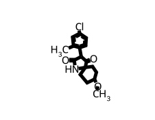 COC1CCC2(CC1)NC(=O)C(c1ccc(Cl)cc1C)C2=O